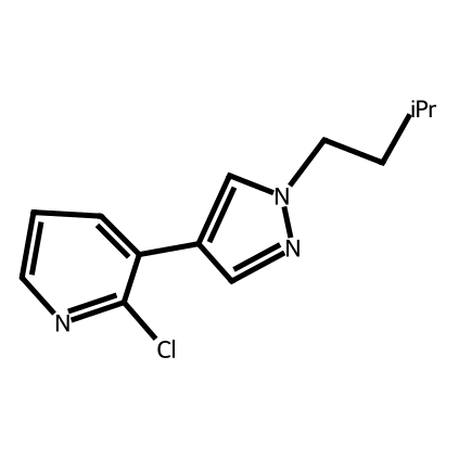 CC(C)CCn1cc(-c2cccnc2Cl)cn1